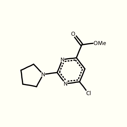 COC(=O)c1cc(Cl)nc(N2CCCC2)n1